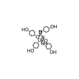 N=P(N=[PH](Oc1ccc(O)cc1)Oc1ccc(O)cc1)(Oc1ccc(O)cc1)Oc1ccc(O)cc1